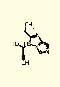 C#CC(O)[SH]1C(CC)=Nc2cncn21